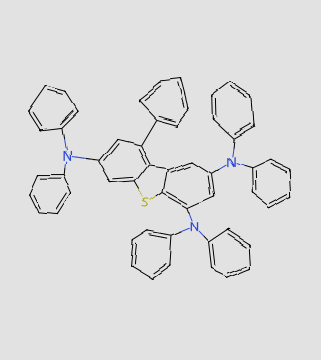 c1ccc(-c2cc(N(c3ccccc3)c3ccccc3)cc3sc4c(N(c5ccccc5)c5ccccc5)cc(N(c5ccccc5)c5ccccc5)cc4c23)cc1